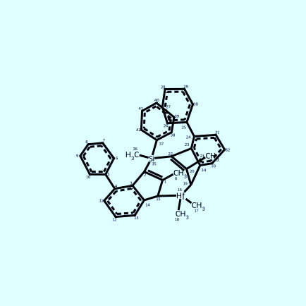 CC1=C2c3c(-c4ccccc4)cccc3[CH]1[Hf]([CH3])([CH3])[CH]1C(C)=C(c3c(-c4ccccc4)cccc31)[Si]2(C)c1ccccc1